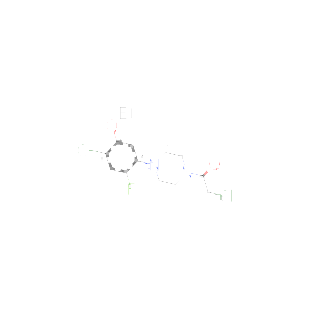 CCOc1cc(N2CCN(C(=O)CCl)CC2)c(F)cc1Cl